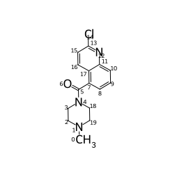 CN1CCN(C(=O)c2cccc3nc(Cl)ccc23)CC1